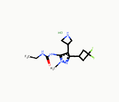 Cl.Cn1nc(C2CC(F)(F)C2)c(C2CNC2)c1NC(=O)NCC(F)(F)F